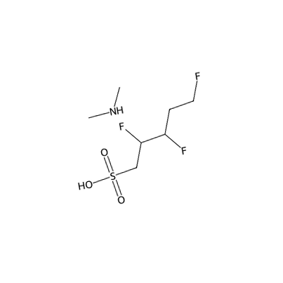 CNC.O=S(=O)(O)CC(F)C(F)CCF